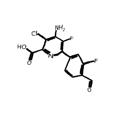 Nc1c(F)c(-c2ccc(C=O)c(F)c2)nc(C(=O)O)c1Cl